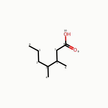 CCCC(C)C(C)CC(=O)O